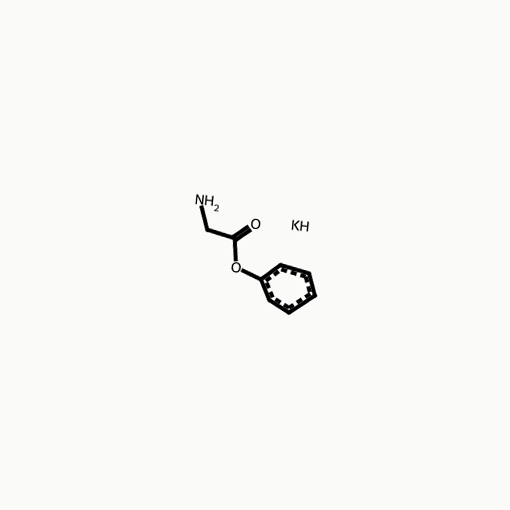 NCC(=O)Oc1ccccc1.[KH]